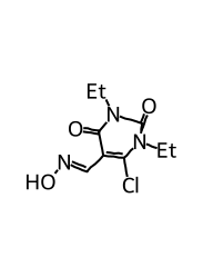 CCn1c(Cl)c(C=NO)c(=O)n(CC)c1=O